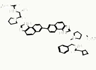 COC[C@H]1C[C@@H](c2nc3ccc4cc(-c5ccc6c(ccc7nc([C@@H]8CCCN8C(=O)[C@@H](NC(=O)OC)C(C)C)[nH]c76)c5)ccc4c3[nH]2)N(C[C@H](NC(=O)C2CCC2)c2ccccc2)C1